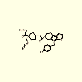 [N-]=[N+]=NC[C@]1(C(=O)ON)CC[C@H](CC(=O)N2CCc3c(n(Cc4ccc(Cl)cc4)c4ncccc34)C2)CC1